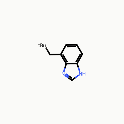 CC(C)(C)Cc1cccc2[nH]cnc12